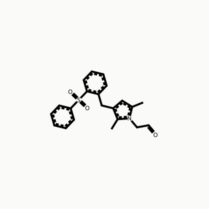 Cc1cc(Cc2ccccc2S(=O)(=O)c2ccccc2)c(C)n1CC=O